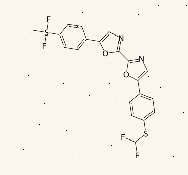 CS(F)(F)c1ccc(-c2cnc(-c3ncc(-c4ccc(SC(F)F)cc4)o3)o2)cc1